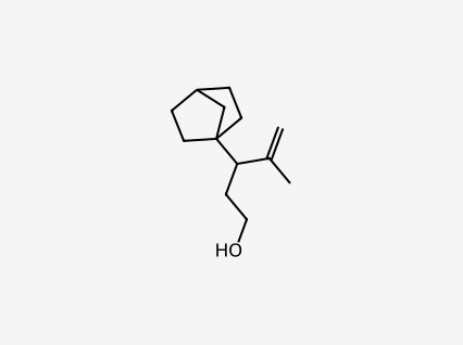 C=C(C)C(CCO)C12CCC(CC1)C2